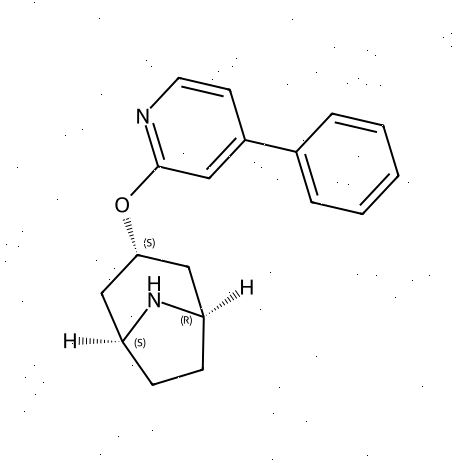 c1ccc(-c2ccnc(O[C@@H]3C[C@H]4CC[C@@H](C3)N4)c2)cc1